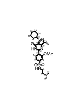 COc1cc(S(=O)(=O)NCCN(C)C)ccc1-c1nc2c(C)nn(C3CCCCC3)c2c(=O)[nH]1